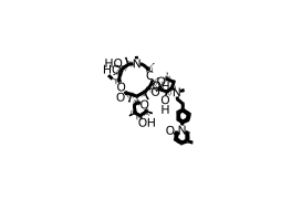 CC[C@H]1OC(=O)[C@H](C)C([C@H]2C[C@H](C)[C@@H](O)[C@H](C)O2)[C@H](C)[C@@H](O[C@@H]2O[C@H](C)C[C@H](N(C)CCc3ccc(-n4cc(C)ccc4=O)cc3)[C@H]2O)[C@](C)(O)C[C@@H](C)CN(C)[C@H](C)[C@@H](O)[C@]1(C)O